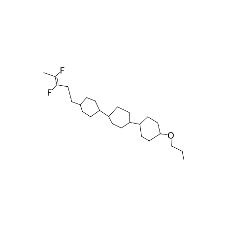 CCCOC1CCC(C2CCC(C3CCC(CC/C(F)=C(/C)F)CC3)CC2)CC1